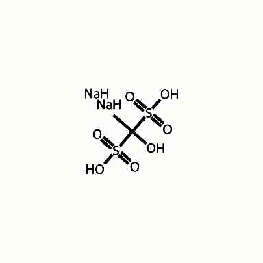 CC(O)(S(=O)(=O)O)S(=O)(=O)O.[NaH].[NaH]